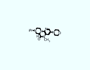 CC(C)N1CCN2c3ncc(N4CCOCC4)cc3N(C)C(=O)[C@@H]2C1